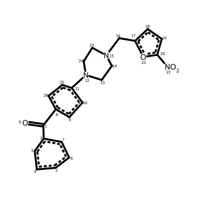 O=C(c1ccccc1)c1ccc(N2CCN(Cc3ccc([N+](=O)[O-])o3)CC2)cc1